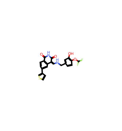 O=C1NC(=O)c2ccc(-c3ccsc3)cc2C1=CNCc1ccc(OC(F)F)c(O)c1